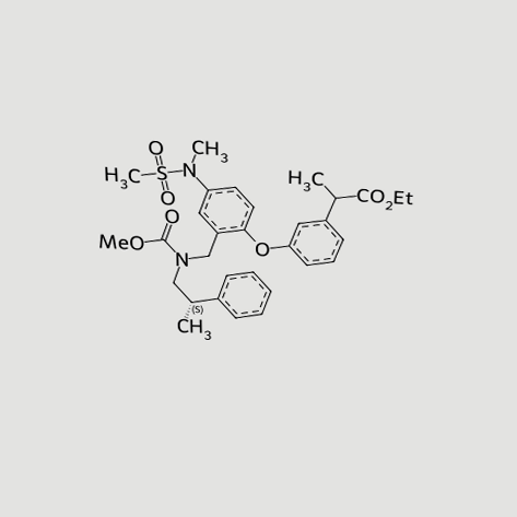 CCOC(=O)C(C)c1cccc(Oc2ccc(N(C)S(C)(=O)=O)cc2CN(C[C@@H](C)c2ccccc2)C(=O)OC)c1